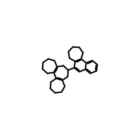 [CH]1C2=C(CCCCC2)C2=C(CCCCC2)CC1c1cc2ccccc2c2c1CCCCC2